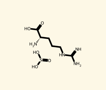 N=C(N)NCCC[C@H](N)C(=O)O.O=[Si](O)O